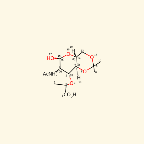 CC(=O)N[C@@H]1[C@@H](OC(C)C(=O)O)[C@@H]2OC(C)(C)OC[C@H]2O[C@@H]1O